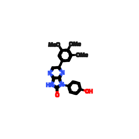 COc1cc(-c2cnc3[nH]c(=O)n(-c4ccc(O)cc4)c3n2)cc(OC)c1OC